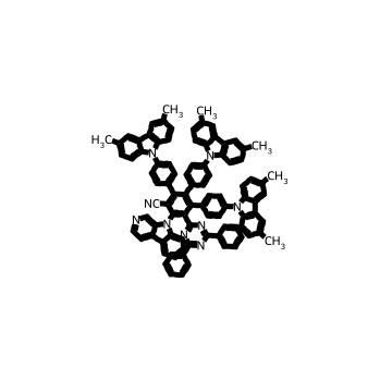 Cc1ccc2c(c1)c1cc(C)ccc1n2-c1ccc(-c2c(C#N)c(-n3c4ccccc4c4ccncc43)c(-c3nc(-c4ccccc4)nc(-c4ccccc4)n3)c(-c3ccc(-n4c5ccc(C)cc5c5cc(C)ccc54)cc3)c2-c2ccc(-n3c4ccc(C)cc4c4cc(C)ccc43)cc2)cc1